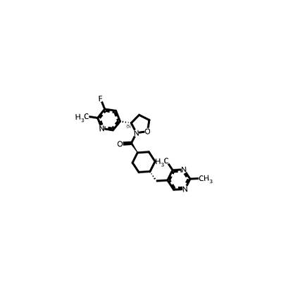 Cc1ncc(C[C@H]2CC[C@H](C(=O)N3OCC[C@H]3c3cnc(C)c(F)c3)CC2)c(C)n1